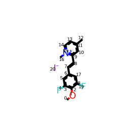 COc1c(F)cc(/C=C/c2cc(C)cc[n+]2C)cc1F.[I-]